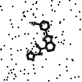 O=C(Nc1nccs1)c1cccc2nc(-c3cccc(C(F)(F)F)c3)oc12